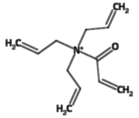 C=CC[N+](CC=C)(CC=C)C(=O)C=C